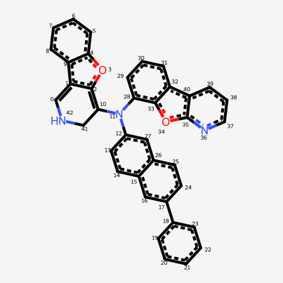 C1=c2c(oc3ccccc23)=C(N(c2ccc3cc(-c4ccccc4)ccc3c2)c2cccc3c2oc2ncccc23)CN1